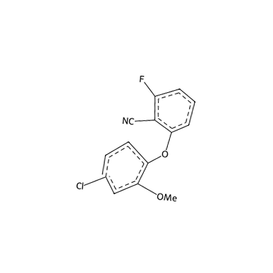 COc1cc(Cl)ccc1Oc1cccc(F)c1C#N